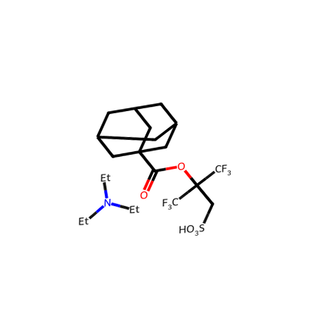 CCN(CC)CC.O=C(OC(CS(=O)(=O)O)(C(F)(F)F)C(F)(F)F)C12CC3CC(CC(C3)C1)C2